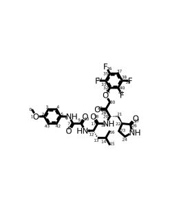 COc1ccc(NC(=O)C(=O)N[C@@H](CC(C)C)C(=O)N[C@@H](C[C@@H]2CCNC2=O)C(=O)COc2c(F)c(F)cc(F)c2F)cc1